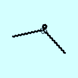 CCCCCCCCC=CCCCCCCCCOC(O)(OCCCCCCCCC=CCCCCCCCC)c1ccccc1